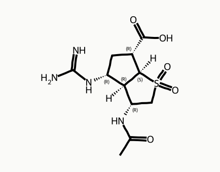 CC(=O)N[C@H]1CS(=O)(=O)[C@H]2[C@@H]1[C@H](NC(=N)N)C[C@@H]2C(=O)O